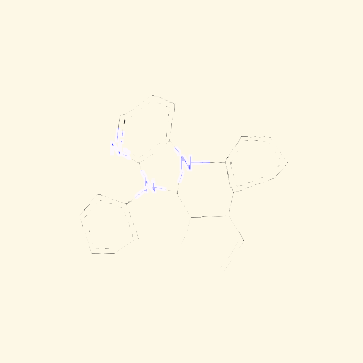 C=CC1c2ccccc2N2c3cccnc3N(c3ccccc3)C2C1C